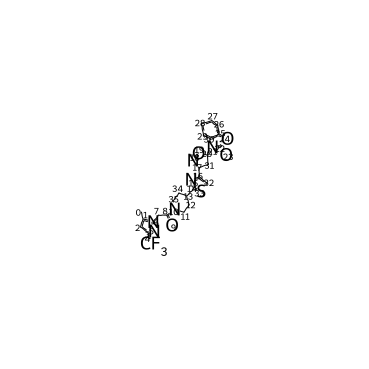 Cc1cc(C(F)(F)F)nn1CC(=O)N1CCC(c2nc(C3=NOC(n4c(=O)oc5ccccc54)C3)cs2)CC1